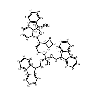 CC(C)(C)[Si](OCC(=CCOP(=O)(OCC1c2ccccc2-c2ccccc21)OCC1c2ccccc2-c2ccccc21)C1CCC1)(c1ccccc1)c1ccccc1